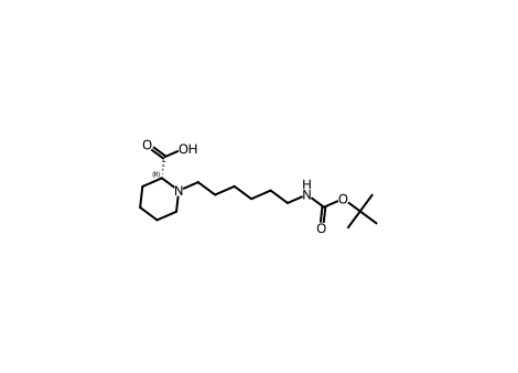 CC(C)(C)OC(=O)NCCCCCCN1CCCC[C@@H]1C(=O)O